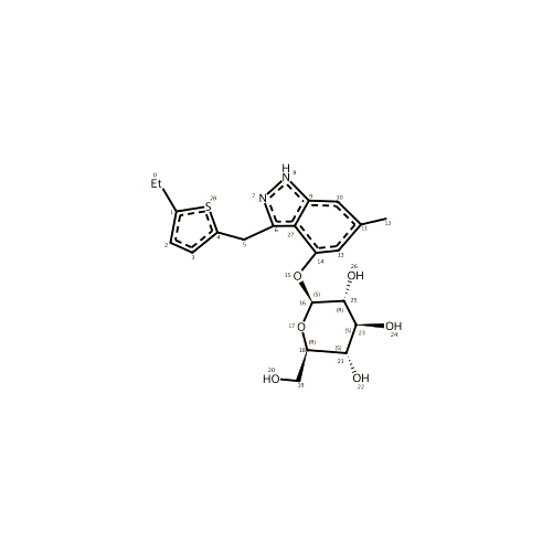 CCc1ccc(Cc2n[nH]c3cc(C)cc(O[C@@H]4O[C@H](CO)[C@@H](O)[C@H](O)[C@H]4O)c23)s1